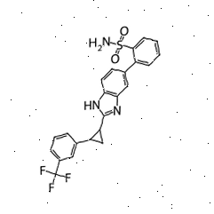 NS(=O)(=O)c1ccccc1-c1ccc2[nH]c(C3CC3c3cccc(C(F)(F)F)c3)nc2c1